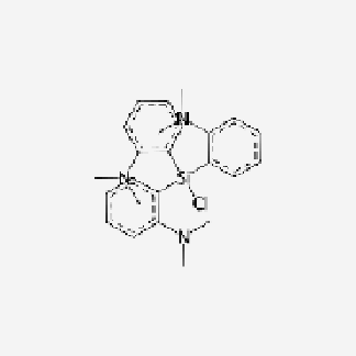 CN(C)c1ccccc1[Si](Cl)(c1ccccc1N(C)C)c1ccccc1N(C)C